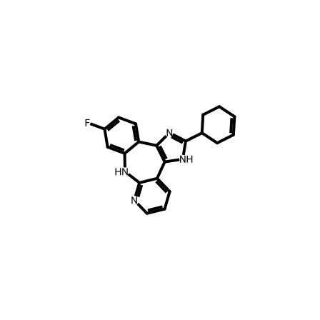 Fc1ccc2c(c1)Nc1ncccc1-c1[nH]c(C3CC=CCC3)nc1-2